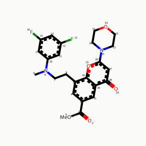 COC(=O)c1cc(CCN(C)c2cc(F)cc(F)c2)c2oc(N3CCOCC3)cc(=O)c2c1